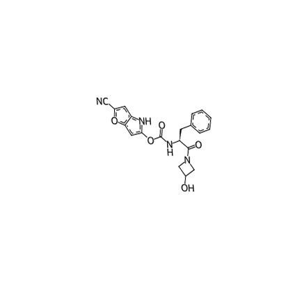 N#Cc1cc2[nH]c(OC(=O)N[C@@H](Cc3ccccc3)C(=O)N3CC(O)C3)cc2o1